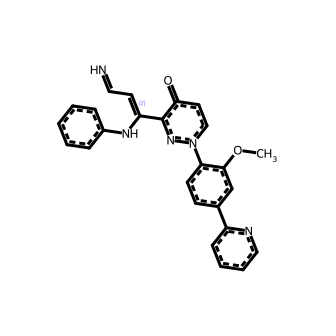 COc1cc(-c2ccccn2)ccc1-n1ccc(=O)c(/C(=C/C=N)Nc2ccccc2)n1